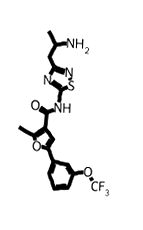 Cc1oc(-c2cccc(OC(F)(F)F)c2)cc1C(=O)Nc1nc(CC(C)N)ns1